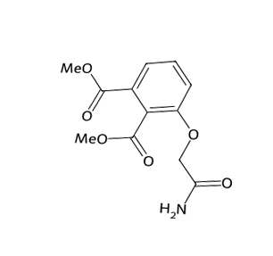 COC(=O)c1cccc(OCC(N)=O)c1C(=O)OC